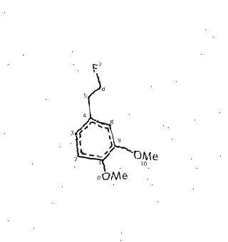 COc1ccc(CCF)cc1OC